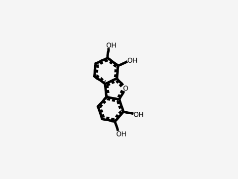 Oc1ccc2c(oc3c(O)c(O)ccc32)c1O